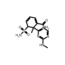 CNc1ncnc(C2(C)C(C(N)=O)=CC=CC2S(N)(=O)=O)n1